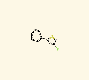 Fc1csc(-c2cc[c]cc2)c1